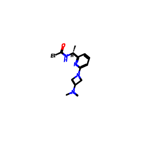 CCC(=O)N[C@H](C)c1cccc(N2CC(N(C)C)C2)n1